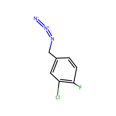 [N-]=[N+]=NCc1ccc(F)c(Cl)c1